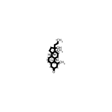 CCCC1(O)CC[C@H]2[C@@H]3CCC4CC(=O)CC(C)[C@]4(C)[C@@H]3CC[C@@]21C